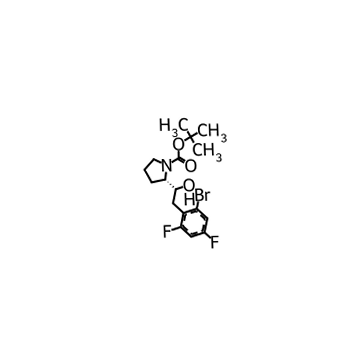 CC(C)(C)OC(=O)N1CCC[C@H]1C(O)Cc1c(F)cc(F)cc1Br